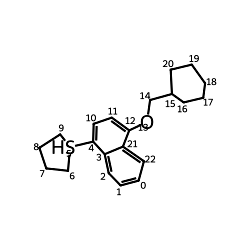 c1ccc2c([SH]3CCCC3)ccc(OCC3CCCCC3)c2c1